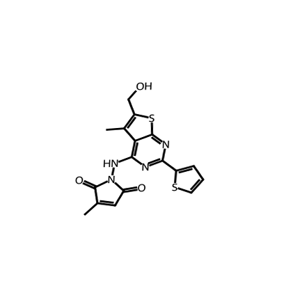 CC1=CC(=O)N(Nc2nc(-c3cccs3)nc3sc(CO)c(C)c23)C1=O